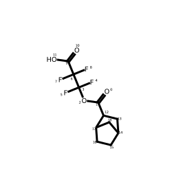 O=C(OC(F)(F)C(F)(F)C(=O)O)C1CC2CCC1C2